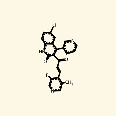 Cc1cncc(F)c1C=CC(=O)c1c(-c2cccnc2)c2cc(Cl)ccc2[nH]c1=O